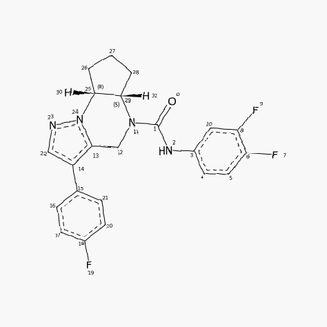 O=C(Nc1ccc(F)c(F)c1)N1Cc2c(-c3ccc(F)cc3)cnn2[C@@H]2CCC[C@@H]21